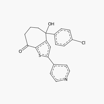 O=C1CCCC(O)(c2ccc(Cl)cc2)c2cc(-c3ccncc3)sc21